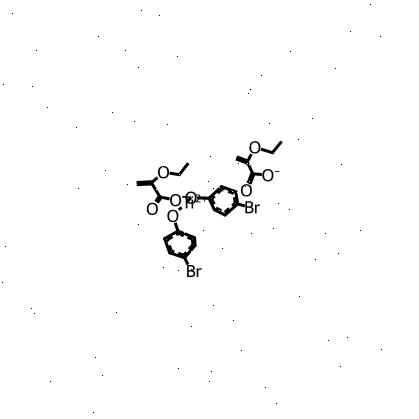 Brc1ccc([O][Ti+2][O]c2ccc(Br)cc2)cc1.C=C(OCC)C(=O)[O-].C=C(OCC)C(=O)[O-]